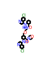 O=C(NCCOCc1ccc(Nc2ccnc3cc(Cl)ccc23)c(C(=O)N2CCOCC2)c1)c1ccccc1Nc1ccnc2cc(Cl)ccc12